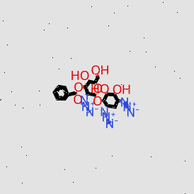 [N-]=[N+]=NC1CC(N=[N+]=[N-])[C@@H](O[C@H]2OC(CO)[C@@H](O)C(OC(=O)c3ccccc3)C2N=[N+]=[N-])C(O)C1O